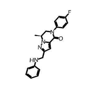 C[C@H]1CN(c2ccc(F)cc2)C(=O)c2cc(CNc3ccccc3)nn21